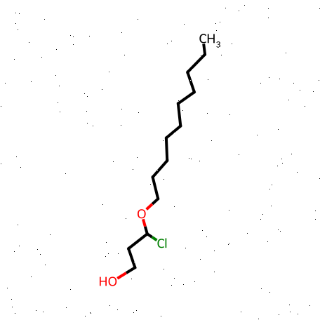 CCCCCCCCCCOC(Cl)CCO